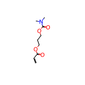 C=CC(=O)OCCCOC(=O)N(C)C